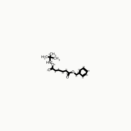 CC(C)(C)NOC(=O)CCCCC(=O)OCc1ccccc1